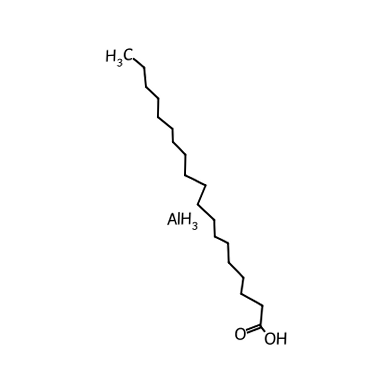 CCCCCCCCCCCCCCCCCCC(=O)O.[AlH3]